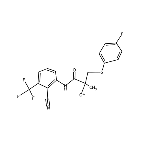 CC(O)(CSc1ccc(F)cc1)C(=O)Nc1cccc(C(F)(F)F)c1C#N